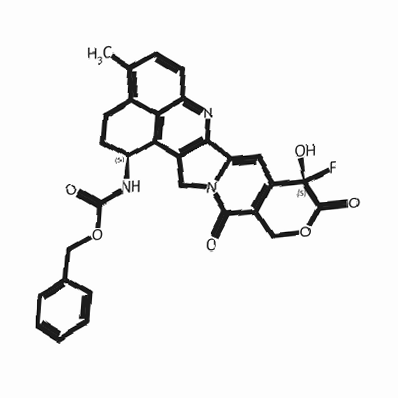 Cc1ccc2nc3c(c4c2c1CC[C@@H]4NC(=O)OCc1ccccc1)Cn1c-3cc2c(c1=O)COC(=O)[C@@]2(O)F